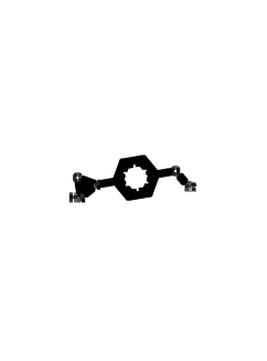 CCOc1ccc(-n2[nH]o2)cc1